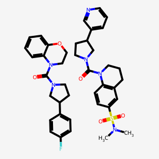 CN(C)S(=O)(=O)c1ccc2c(c1)CCCN2C(=O)N1CCC(c2cccnc2)C1.O=C(N1CCC(c2ccc(F)cc2)C1)N1CCOc2ccccc21